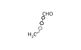 C=CCC[C@H]1CC[C@H](c2ccc(-c3ccc(C=O)cc3)cc2)CC1